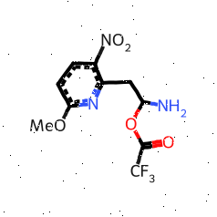 COc1ccc([N+](=O)[O-])c(CC(N)OC(=O)C(F)(F)F)n1